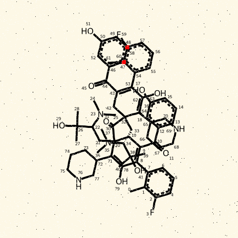 Cc1c(F)cccc1C1=C(C(=O)c2cccc(O)c2)CC(CC(N(C)C)C(C)(C)O)(C(=O)C2(C[C@@H](N(C)C)C(C)(C)O)CC(C(=O)c3cccc(O)c3)=C(c3cccc(F)c3C)C(O)=C2[C@@H]2CCCNC2)C(C2CCCNC2)=C1O